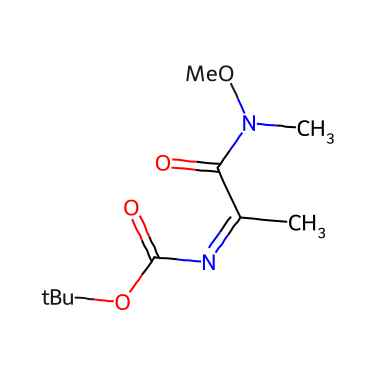 CON(C)C(=O)/C(C)=N\C(=O)OC(C)(C)C